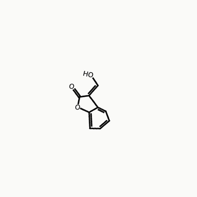 O=C1Oc2ccccc2/C1=C/O